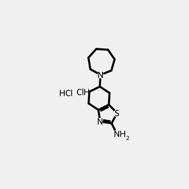 Cl.Cl.Nc1nc2c(s1)CC(N1CCCCCC1)CC2